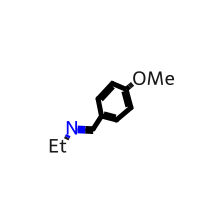 CC/N=C/c1ccc(OC)cc1